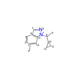 Cc1ccc2cnn(C(C)C3CC3)c2c1